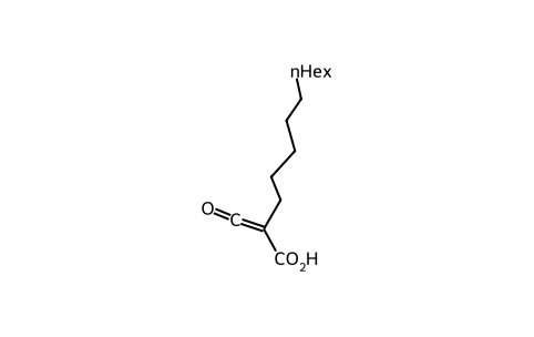 CCCCCCCCCCCC(=C=O)C(=O)O